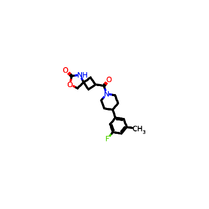 Cc1cc(F)cc(C2CCN(C(=O)C3CC4(COC(=O)N4)C3)CC2)c1